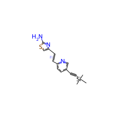 C[Si](C)(C)C#Cc1ccc(/C=C/c2csc(N)n2)nc1